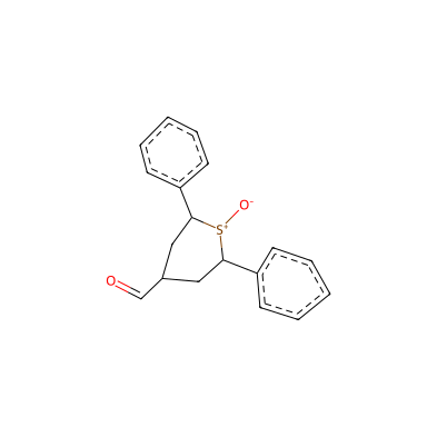 O=CC1CC(c2ccccc2)[S+]([O-])C(c2ccccc2)C1